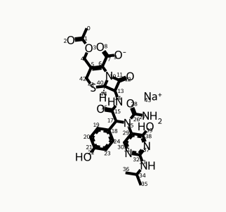 CC(=O)OCC1=C(C(=O)[O-])N2C(=O)C(NC(=O)C(c3ccc(O)cc3)N(C(N)=O)c3cnc(NC(C)C)nc3O)[C@H]2SC1.[Na+]